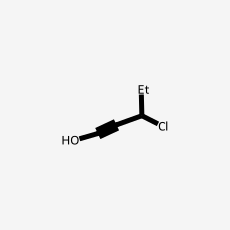 CCC(Cl)C#CO